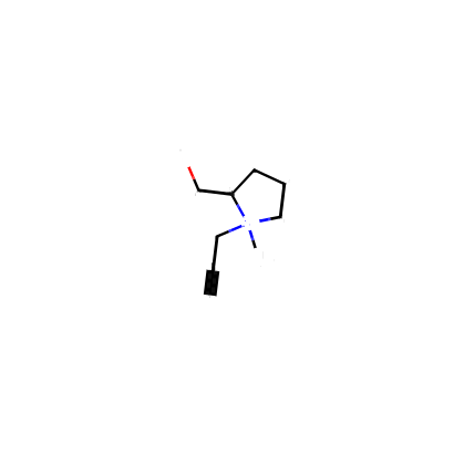 C#CC[N+]1(C)CCCC1CO